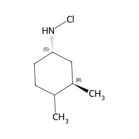 CC1CC[C@H](NCl)C[C@H]1C